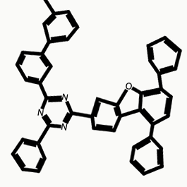 Cc1cccc(-c2cccc(-c3nc(-c4ccccc4)nc(-c4ccc5c(c4)oc4c(-c6ccccc6)ccc(-c6ccccc6)c45)n3)c2)c1